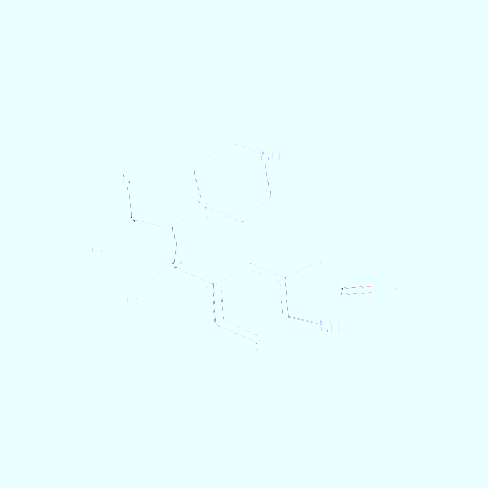 O=NC(=O)C(C(=O)c1ccc2c(c1)CC(=O)N2)N1CCNCC1